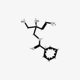 C/C=C/[C@@](O)(CO)COC(=O)c1ccccc1